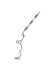 CC#CC#CC#C/C=C/C1OC1CCCO